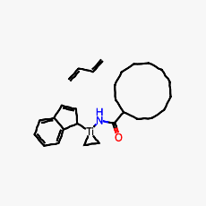 C=CC=C.O=C([NH][Ti]1([CH]2C=Cc3ccccc32)[CH2][CH2]1)C1CCCCCCCCCCC1